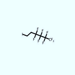 FC(F)(F)C(F)(F)C(F)(F)C(F)(F)CCI